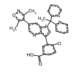 Cc1noc(C)c1-c1cnc2c(-c3cc(C(=O)O)ccc3Cl)cn(C(C)(c3ccccn3)c3ccccn3)c2c1